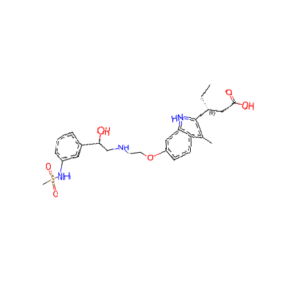 CC[C@H](CC(=O)O)c1[nH]c2cc(OCCNCC(O)c3cccc(NS(C)(=O)=O)c3)ccc2c1C